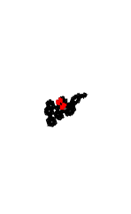 CCC1C=Cc2c(c3cccc(-c4c5ccccc5c(-c5cccc6ccc(-c7ccccc7)cc56)c5ccccc45)c3n2-c2ccccc2)C1